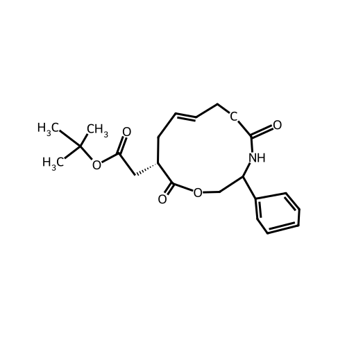 CC(C)(C)OC(=O)C[C@@H]1C/C=C/CCC(=O)NC(c2ccccc2)COC1=O